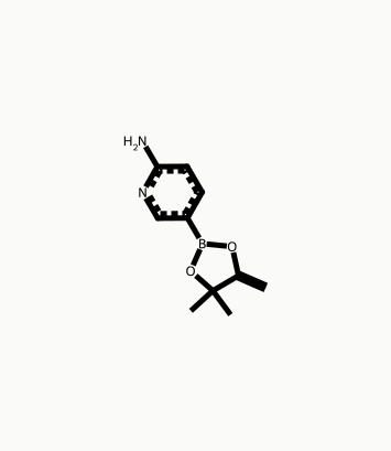 C=C1OB(c2ccc(N)nc2)OC1(C)C